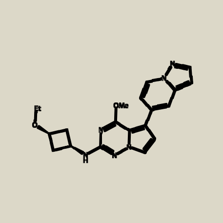 CCO[C@H]1C[C@@H](Nc2nc(OC)c3c(-c4ccn5nccc5c4)ccn3n2)C1